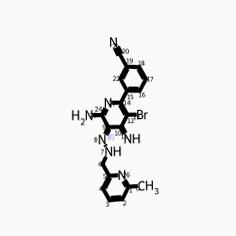 Cc1cccc(CN/N=C2\C(=N)C(Br)=C(c3cccc(C#N)c3)N=C2N)n1